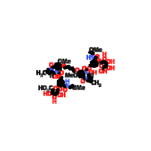 C=C1C[C@H]2C(O)N(C(=O)OCc3ccc(O[C@@H]4O[C@H](C(=O)O)[C@@H](O)[C@H](O)[C@H]4O)c(C(=O)NCCOC)c3)c3cc(OCCCCCOc4cc5c(cc4OC)C(=O)N4CC(=C)C[C@H]4C(O)N5C(=O)OCc4ccc(O[C@@H]5O[C@H](CO)[C@H](O)[C@H](O)[C@H]5O)c(C(=O)NCCOC)c4)c(OC)cc3C(=O)N2C1